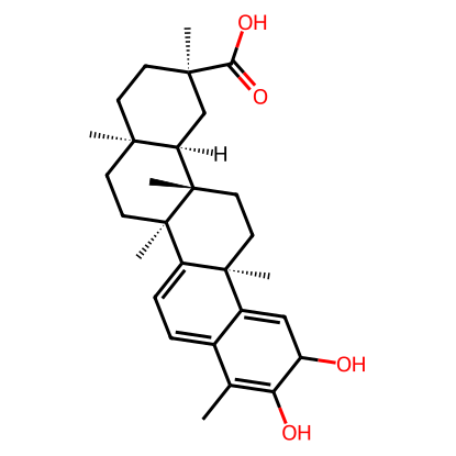 CC1=C(O)C(O)C=C2C1=CC=C1[C@@]2(C)CC[C@@]2(C)[C@@H]3C[C@](C)(C(=O)O)CC[C@]3(C)CC[C@]12C